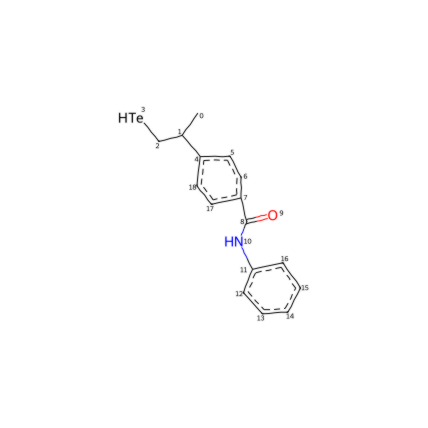 CC(C[TeH])c1ccc(C(=O)Nc2ccccc2)cc1